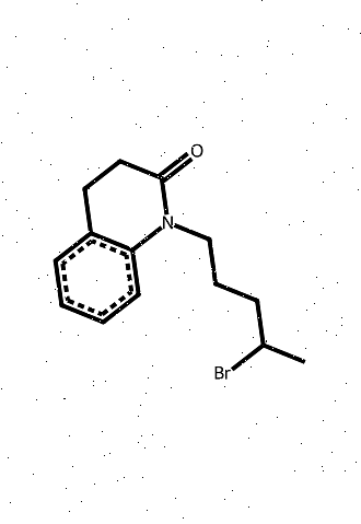 CC(Br)CCCN1C(=O)CCc2ccccc21